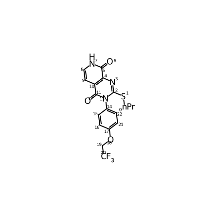 CCCSc1nc2c(=O)[nH]ccc2c(=O)n1-c1ccc(OCC(F)(F)F)cc1